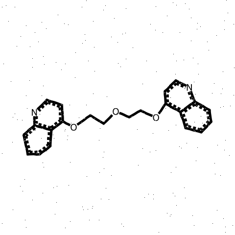 c1ccc2c(OCCOCCOc3ccnc4ccccc34)ccnc2c1